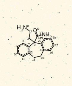 NCCC1(C(N)=O)c2ccccc2CCc2ccccc21